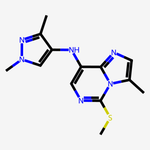 CSc1ncc(Nc2cn(C)nc2C)c2ncc(C)n12